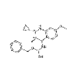 COc1ccc2c(c1)N[C@@H](C1CC1)[C@H](C)C2NC(O)OCc1ccccc1